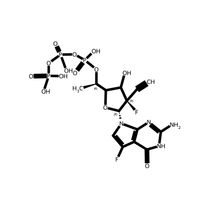 C#C[C@@]1(F)C(O)C([C@@H](C)OP(=O)(O)OP(=O)(O)OP(=O)(O)O)O[C@H]1n1cc(F)c2c(=O)[nH]c(N)nc21